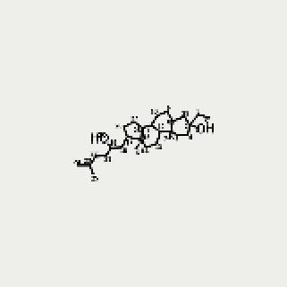 CC[C@]1(O)CCC2(C)C(CCC3C2CC[C@]2(C)C(CC(O)CCC(C)C)CCC32)C1